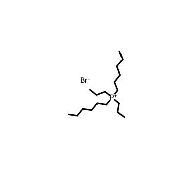 CCCCCC[P+](CCC)(CCC)CCCCCC.[Br-]